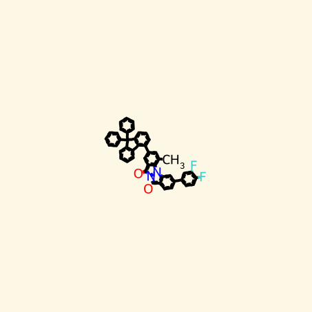 Cc1cc(-c2cccc3c2-c2ccccc2C3(c2ccccc2)c2ccccc2)cc2c(=O)n3c(=O)c4ccc(-c5ccc(F)c(F)c5)cc4n3c12